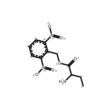 CCC(N)C(=O)OCc1c([N+](=O)[O-])cccc1[N+](=O)[O-]